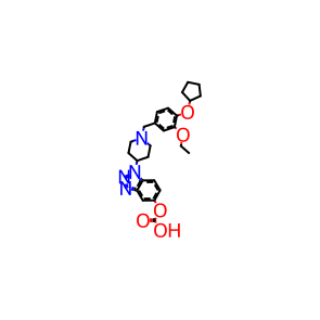 CCOc1cc(CN2CCC(n3nnc4cc(OC(=O)O)ccc43)CC2)ccc1OC1CCCC1